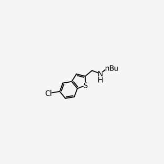 CCCCNCc1cc2cc(Cl)ccc2s1